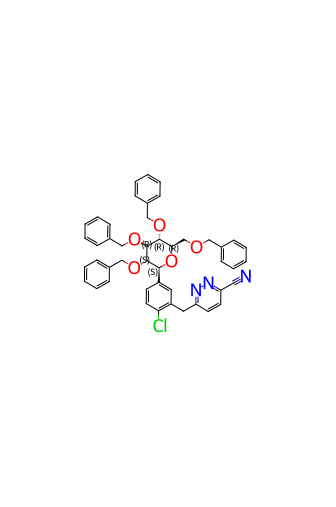 N#Cc1ccc(Cc2cc([C@@H]3O[C@H](COCc4ccccc4)[C@@H](OCc4ccccc4)[C@H](OCc4ccccc4)[C@H]3OCc3ccccc3)ccc2Cl)nn1